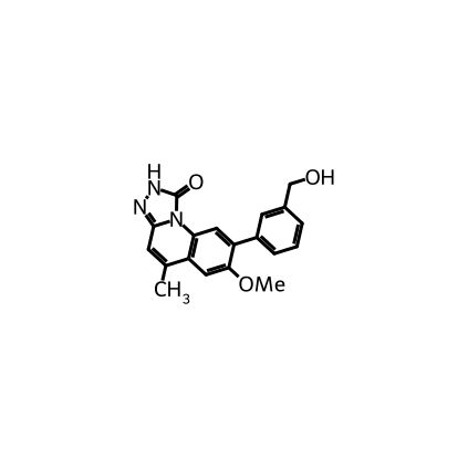 COc1cc2c(C)cc3n[nH]c(=O)n3c2cc1-c1cccc(CO)c1